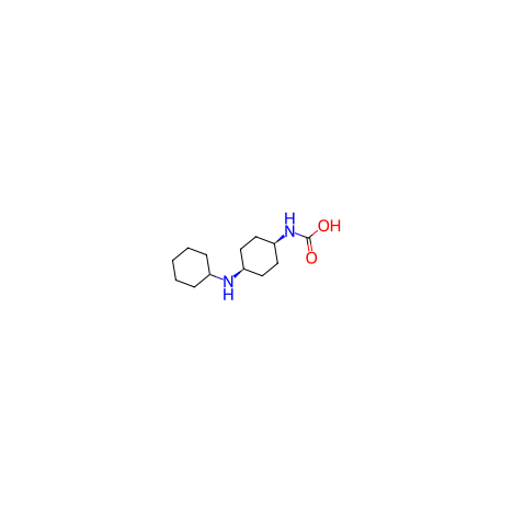 O=C(O)N[C@H]1CC[C@@H](NC2CCCCC2)CC1